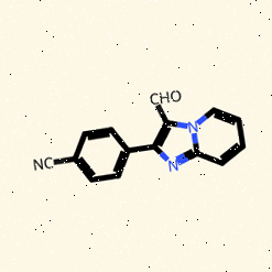 N#Cc1ccc(-c2nc3ccccn3c2C=O)cc1